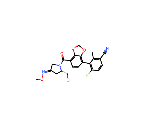 CO/N=C1\C[C@@H](CO)N(C(=O)c2ccc(-c3c(F)ccc(C#N)c3C)c3c2OCO3)C1